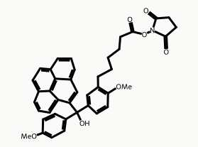 COc1ccc(C(O)(c2ccc(OC)c(CCCCCC(=O)ON3C(=O)CCC3=O)c2)c2cc3cccc4ccc5cccc2c5c43)cc1